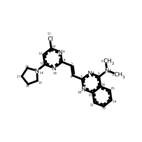 CN(C)c1nc(C=Cc2nc(Cl)cc(N3CCCC3)n2)nc2ccccc12